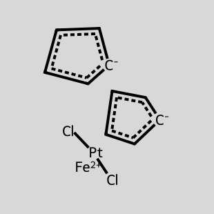 [Cl][Pt][Cl].[Fe+2].c1cc[cH-]c1.c1cc[cH-]c1